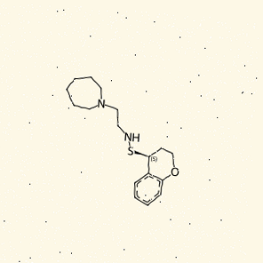 c1ccc2c(c1)OCC[C@@H]2SNCCN1CCCCCC1